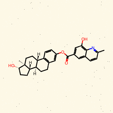 Cc1ccc2cc(C(=O)Oc3ccc4c(c3)CC[C@@H]3[C@@H]4CC[C@]4(C)[C@@H](O)CC[C@@H]34)cc(O)c2n1